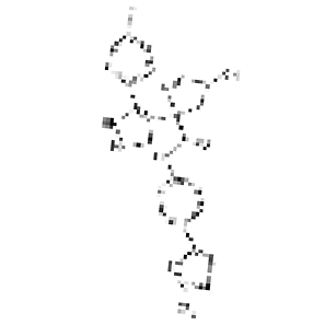 N#CC1C=N[N+](C(=O)Nc2ccc(-c3noc(C(F)(F)F)n3)cc2)(C2=C(c3ccc(Cl)cc3)NNC2)C1